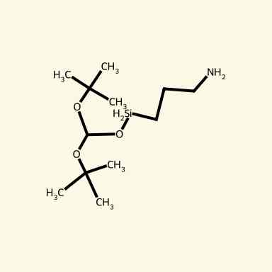 CC(C)(C)OC(O[SiH2]CCCN)OC(C)(C)C